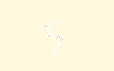 O=C(O)c1ccc(-c2cc(C3CC3)cnn2)s1